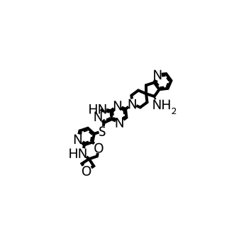 N[C@@H]1c2cccnc2CC12CCN(c1cnc3c(Sc4ccnc5c4OCC4(COC4)N5)n[nH]c3n1)CC2